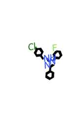 Fc1cccc(-n2cc(-c3ccccc3)nc2NCc2ccc(Cl)cc2)c1